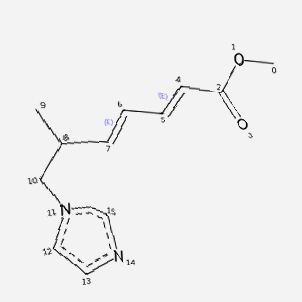 COC(=O)/C=C/C=C/C(C)Cn1ccnc1